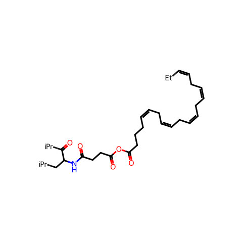 CC/C=C\C/C=C\C/C=C\C/C=C\C/C=C\CCCC(=O)OC(=O)CCC(=O)NC(CC(C)C)C(=O)C(C)C